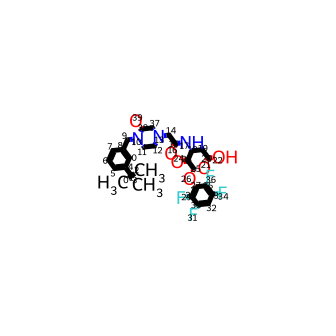 CC(C)(C)c1cccc(CN2CCN(CC(=O)NC(CC(=O)O)C(=O)COc3c(F)c(F)cc(F)c3F)CC2=O)c1